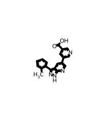 Cc1ccccc1-c1n[nH]c2ncc(-c3cncc(C(=O)O)c3)cc12